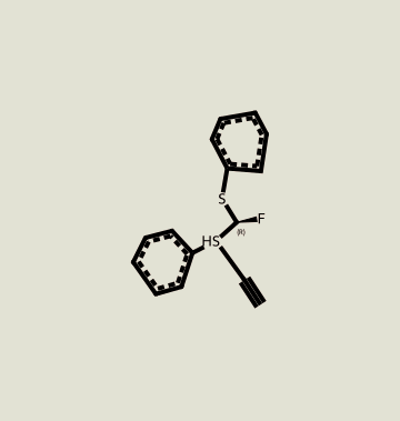 C#C[SH](c1ccccc1)[C@H](F)Sc1ccccc1